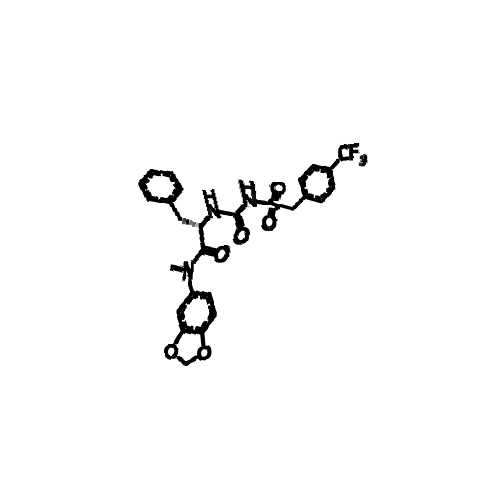 CN(C(=O)[C@H](Cc1ccccc1)NC(=O)NS(=O)(=O)Cc1ccc(C(F)(F)F)cc1)c1ccc2c(c1)OCO2